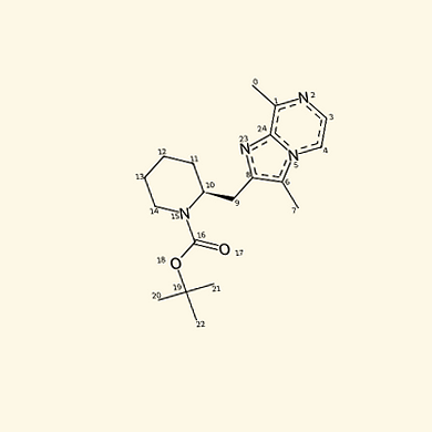 Cc1nccn2c(C)c(C[C@@H]3CCCCN3C(=O)OC(C)(C)C)nc12